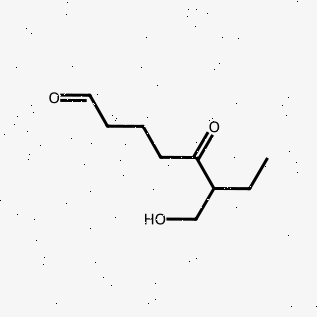 CCC(CO)C(=O)CCCC=O